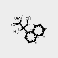 COC(=O)C(C)(CO)c1cccc2ccccc12